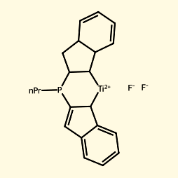 CCCP1C2=Cc3ccccc3[CH]2[Ti+2][CH]2C3C=CC=CC3CC21.[F-].[F-]